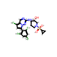 O=S(=O)(C1CC1)N1CC[C@@H](Nc2ncc3c(F)cc(-c4c(F)cc(F)cc4F)n3n2)[C@H](O)C1